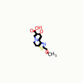 COCc1nc2c(s1)CCn1cc(C(=O)O)c(=O)cc1-2